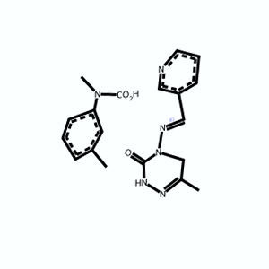 CC1=NNC(=O)N(/N=C/c2cccnc2)C1.Cc1cccc(N(C)C(=O)O)c1